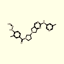 Cc1cncc(Nc2ncc3c(n2)CN(C2CCN(C(=O)c4ccc(NN=N)c(C)c4)C2)C3)c1